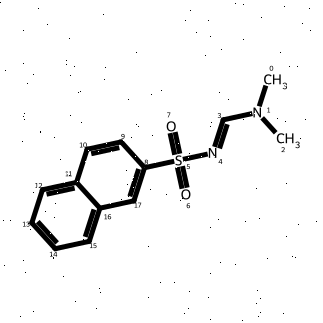 CN(C)C=NS(=O)(=O)c1ccc2ccccc2c1